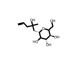 C=CCC(C)(O)C[C@@H]1OC(CO)[C@@H](O)[C@H](O)C1O